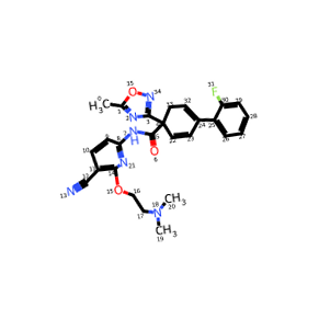 Cc1nc(C2(C(=O)Nc3ccc(C#N)c(OCCN(C)C)n3)C=CC(c3ccccc3F)=CC2)no1